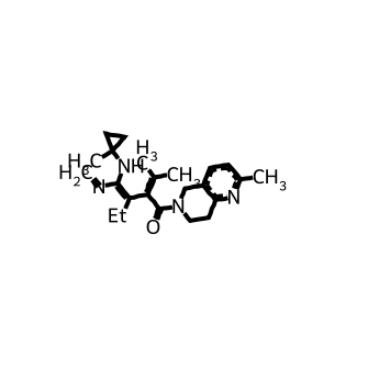 C=N/C(NC1(C)CC1)=C(\CC)C(C(=O)N1CCc2nc(C)ccc2C1)=C(C)C